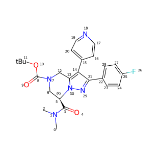 CN(C)C(=O)[C@H]1CN(C(=O)OC(C)(C)C)Cc2c(-c3ccncc3)c(-c3ccc(F)cc3)nn21